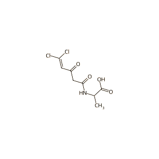 CC(NC(=O)CC(=O)C=C(Cl)Cl)C(=O)O